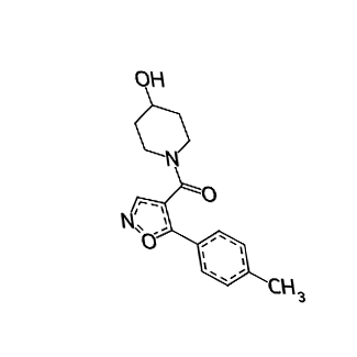 Cc1ccc(-c2oncc2C(=O)N2CCC(O)CC2)cc1